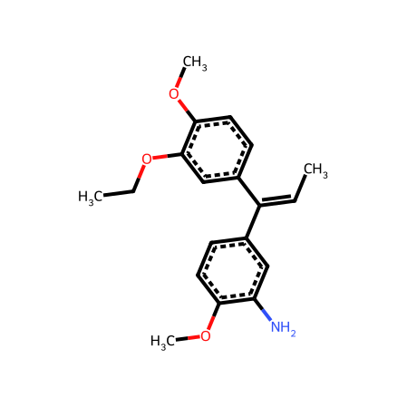 C/C=C(/c1ccc(OC)c(N)c1)c1ccc(OC)c(OCC)c1